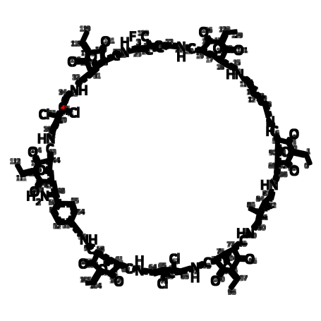 C/C=C1/C(=O)c2c[nH]c3ccc(cc3)[nH]cc3c(=O)c(c[nH]c4ccc([nH]cc5c(=O)c(c[nH]c6cc(Cl)c(cc6Cl)[nH]cc6c(=O)c(c(N)c7ccc(cc7)[nH]cc7c(=O)c(c[nH]c8cc(Cl)c(cc8Cl)[nH]cc8c(=O)c(c[nH]c9ccc(cc9C)[nH]cc(c2=O)C1=O)C(=O)/C(=C/C)C8=O)C(=O)/C(=C/C)C7=O)C(=O)/C(=C/C)C6=O)C(=O)/C(=C/C)C5=O)c(C(F)(F)F)c4)C(=O)/C(=C/C)C3=O